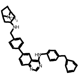 CN1C2CCC1CC(NCc1ccc(-c3ccc4ncnc(Nc5ccc(Cc6ccccc6)cc5)c4c3)cc1)C2